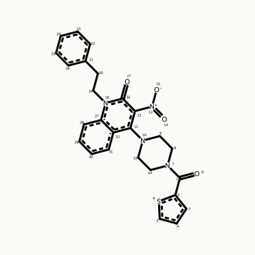 O=C(c1cccs1)N1CCN(c2c([N+](=O)[O-])c(=O)n(CCc3ccccc3)c3ccccc23)CC1